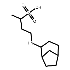 CC(CCNC1CCC2CCC1C2)S(=O)(=O)O